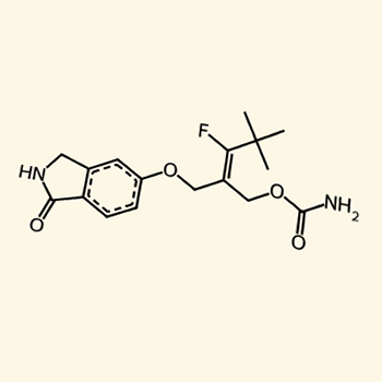 CC(C)(C)C(F)=C(COC(N)=O)COc1ccc2c(c1)CNC2=O